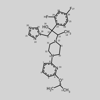 CC(C)Oc1cccc(N2CCN(C(C)C(O)(Cn3cncn3)c3ccc(F)cc3F)CC2)n1